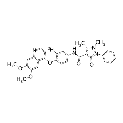 [2H]c1cc(NC(=O)c2c(C)n(C)n(-c3ccccc3)c2=O)ccc1Oc1ccnc2cc(OC)c(OC)cc12